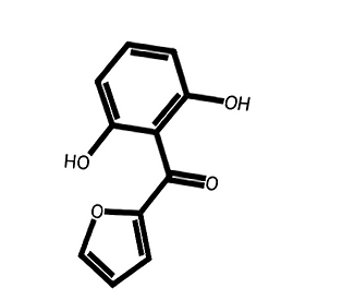 O=C(c1ccco1)c1c(O)cccc1O